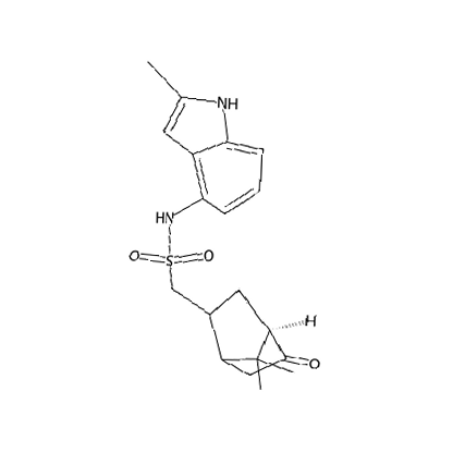 Cc1cc2c(NS(=O)(=O)CC3C[C@H]4C(=O)CC3C4(C)C)cccc2[nH]1